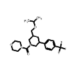 CC(C)OCC1CC(c2ccc(C(F)(F)F)cc2)CN(C(=O)N2CCOCC2)C1